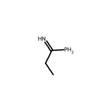 CCC(=N)P